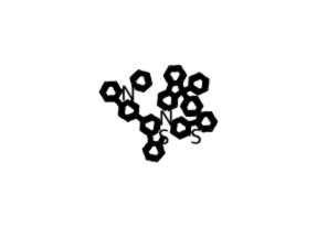 c1ccc(-n2c3ccccc3c3ccc(-c4cc(N(c5ccc6c(c5)C(c5ccccc5)(c5ccccc5)c5ccccc5-6)c5ccc6sc7ccccc7c6c5)c5sc6ccccc6c5c4)cc32)cc1